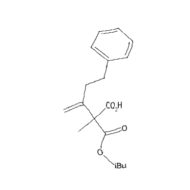 C=C(CCc1ccccc1)C(C)(C(=O)O)C(=O)OC(C)CC